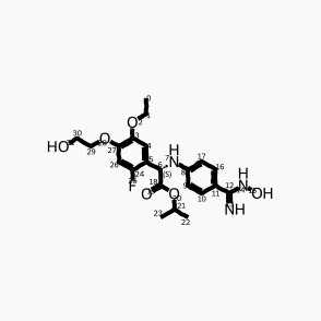 CCOc1cc([C@H](Nc2ccc(C(=N)NO)cc2)C(=O)OC(C)C)c(F)cc1OCCO